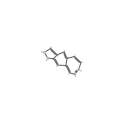 C1=Cc2cc3c(cc2=CN=N1)OOC=3